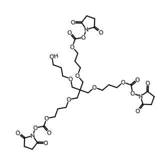 O=C(OCCCOCC(COCCCO)(COCCCOC(=O)ON1C(=O)CCC1=O)COCCCOC(=O)ON1C(=O)CCC1=O)ON1C(=O)CCC1=O